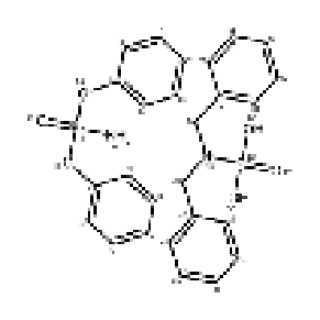 NP(=O)(Oc1ccccc1)Oc1ccccc1.O=P(O)(O)N(Cc1ccccc1)Cc1ccccc1